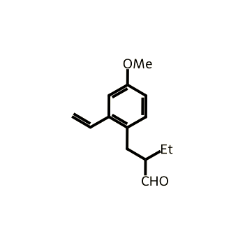 C=Cc1cc(OC)ccc1CC(C=O)CC